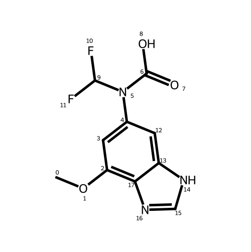 COc1cc(N(C(=O)O)C(F)F)cc2[nH]cnc12